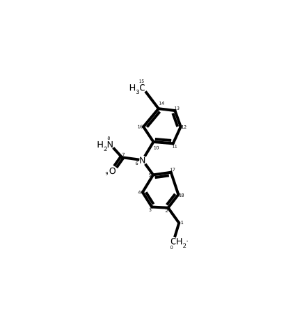 [CH2]Cc1ccc(N(C(N)=O)c2cccc(C)c2)cc1